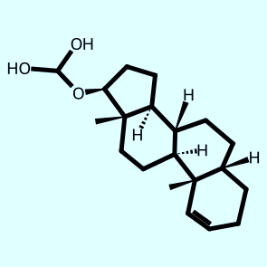 C[C@]12C=CCC[C@H]1CC[C@@H]1[C@@H]2CC[C@]2(C)[C@@H](OC(O)O)CC[C@@H]12